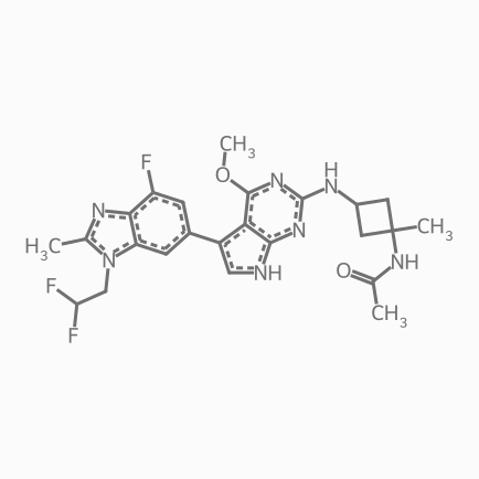 COc1nc(NC2CC(C)(NC(C)=O)C2)nc2[nH]cc(-c3cc(F)c4nc(C)n(CC(F)F)c4c3)c12